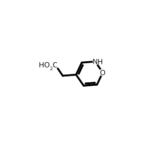 O=C(O)CC1=CNOC=C1